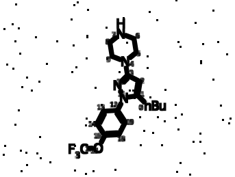 CCCCc1cc(N2CCNCC2)nn1-c1ccc(OC(F)(F)F)cc1